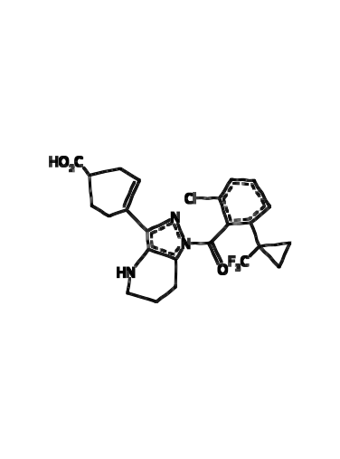 O=C(O)C1CC=C(c2nn(C(=O)c3c(Cl)cccc3C3(C(F)(F)F)CC3)c3c2NCCC3)CC1